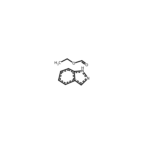 CCOC=O.c1ccc2[nH]ncc2c1